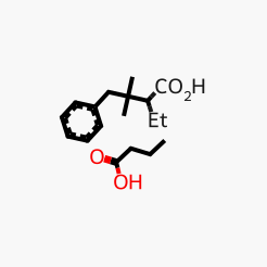 CCC(C(=O)O)C(C)(C)Cc1ccccc1.CCCC(=O)O